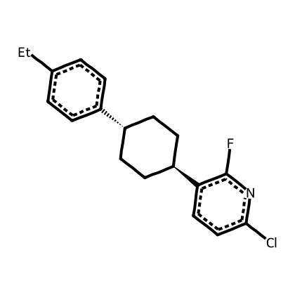 CCc1ccc([C@H]2CC[C@H](c3ccc(Cl)nc3F)CC2)cc1